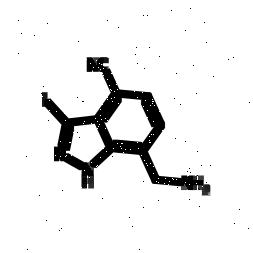 N#Cc1ccc(CN)c2[nH]nc(I)c12